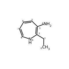 CCC1=C(N)C=CC=CN1